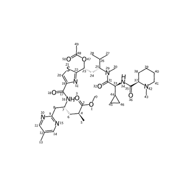 COC(=O)[C@@H](C)C[C@H](Cc1ncc(C)cn1)NC(=O)c1csc([C@@H](C[C@H](C(C)C)N(C)C(=O)[C@@H](NC(=O)[C@H]2CCCCN2C)C2CC2)OC(C)=O)n1